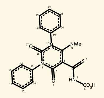 CNc1c(C(=S)NC(=O)O)c(=O)n(-c2ccccc2)c(=O)n1-c1ccccc1